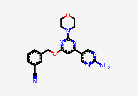 N#Cc1cccc(COc2cc(-c3cnc(N)nc3)nc(N3CCOCC3)n2)c1